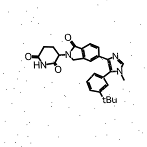 Cn1cnc(-c2ccc3c(c2)CN(C2CCC(=O)NC2=O)C3=O)c1-c1cccc(C(C)(C)C)c1